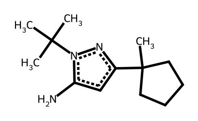 CC1(c2cc(N)n(C(C)(C)C)n2)CCCC1